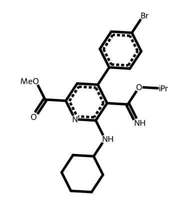 COC(=O)c1cc(-c2ccc(Br)cc2)c(C(=N)OC(C)C)c(NC2CCCCC2)n1